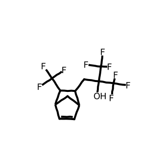 OC(CC1C2C=CC(C2)C1C(F)(F)F)(C(F)(F)F)C(F)(F)F